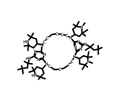 CN1C(C)(C)CC(N2CCCCCCN(C3CC(C)(C)NC(C)(C)C3)c3nc(NC(C)(C)CC(C)(C)C)nc(n3)N(C3CC(C)(C)NC(C)(C)C3)CCCCCCN(C3CC(C)(C)N(C)C(C)(C)C3)c3nc(NC(C)(C)CC(C)(C)C)nc2n3)CC1(C)C